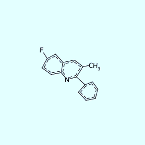 Cc1cc2cc(F)ccc2nc1-c1ccccc1